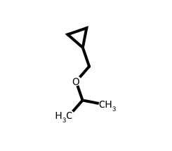 CC(C)OCC1CC1